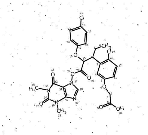 CCC(c1cc(OCC(=O)O)ccc1Cl)C(Oc1ccc(Cl)cc1)C(=O)On1cnc2c1c(=O)n(C)c(=O)n2C